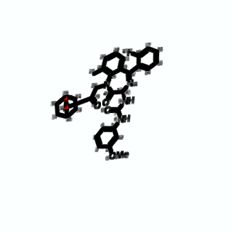 COc1cccc(NC(=O)N[C@@H]2N=C(c3ccccc3F)c3cccc(C)c3N(CC(=O)N3CC4CCC(CC4)C3)C2=O)c1